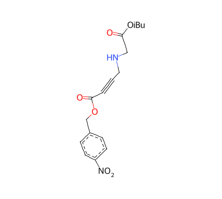 CC(C)COC(=O)CNCC#CC(=O)OCc1ccc([N+](=O)[O-])cc1